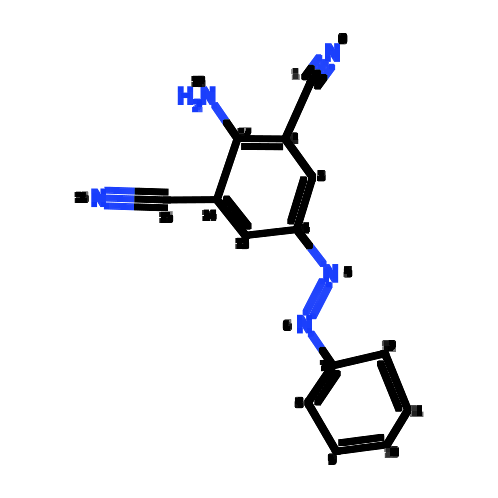 N#Cc1cc(N=Nc2ccccc2)cc(C#N)c1N